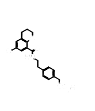 O=C(O)Cc1ccc(CCNC(=O)c2cc(Cl)cc3c2OCCC3)cc1